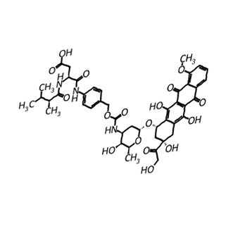 COc1cccc2c1C(=O)c1c(O)c3c(c(O)c1C2=O)C[C@@](O)(C(=O)CO)C[C@@H]3O[C@H]1C[C@H](NC(=O)OCc2ccc(NC(=O)[C@H](CC(=O)O)NC(=O)[C@@H](C)C(C)C)cc2)[C@H](O)[C@H](C)O1